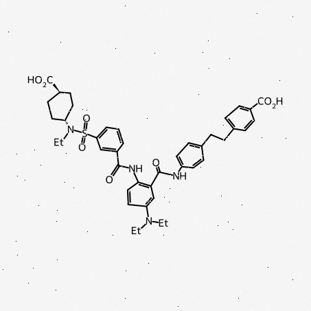 CCN(CC)c1ccc(NC(=O)c2cccc(S(=O)(=O)N(CC)[C@H]3CC[C@H](C(=O)O)CC3)c2)c(C(=O)Nc2ccc(CCc3ccc(C(=O)O)cc3)cc2)c1